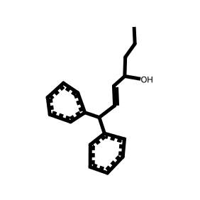 CCCC(O)C=CC(c1ccccc1)c1ccccc1